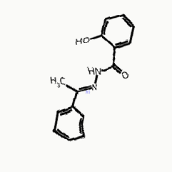 C/C(=N\NC(=O)c1ccccc1O)c1ccccc1